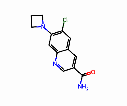 NC(=O)c1cnc2cc(N3CCC3)c(Cl)cc2c1